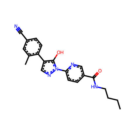 CCCCNC(=O)c1ccc(-n2ncc(-c3ccc(C#N)cc3C)c2O)nc1